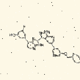 Oc1cc(F)cc(-c2ccnc3[nH]c(-c4n[nH]c5ncc(-c6cncc(OCc7ccccc7)c6)cc45)nc23)c1